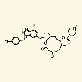 C/C(=C\c1cc(F)c2nnn(Cc3ccc(Cl)cc3)c2c1)[C@H]1OC(=O)C[C@H](O)CC[C@H](C)[C@@H](OC(=O)N2CCN(C)CC2)/C=C/[C@@H]1C